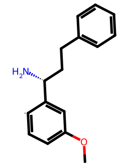 COc1cc[c]c([C@H](N)CCc2ccccc2)c1